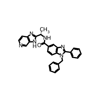 C[C@H](NC(=O)c1ccc2c(c1)nc(-c1ccccc1)n2Cc1ccccc1)c1nc2ccncc2[nH]1